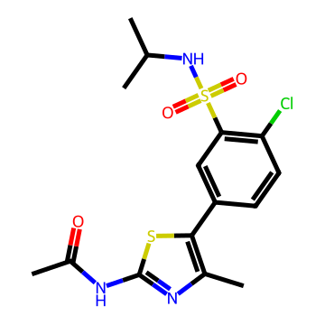 CC(=O)Nc1nc(C)c(-c2ccc(Cl)c(S(=O)(=O)NC(C)C)c2)s1